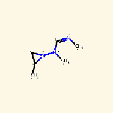 C/N=C\N(C)N1CC1C